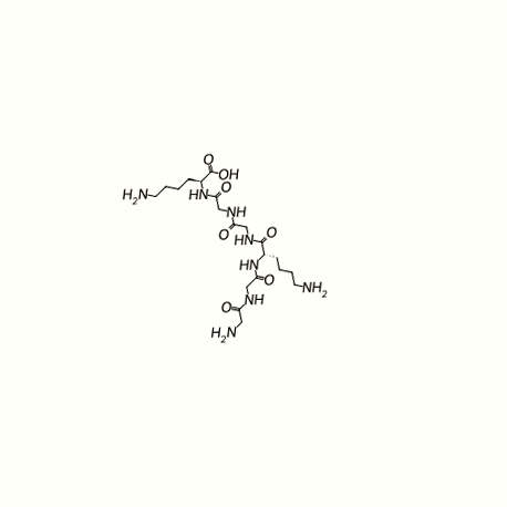 NCCCC[C@H](NC(=O)CNC(=O)CNC(=O)[C@H](CCCCN)NC(=O)CNC(=O)CN)C(=O)O